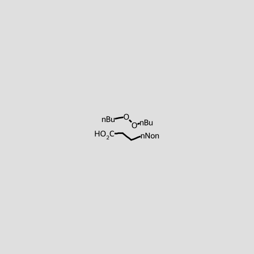 CCCCCCCCCCCC(=O)O.CCCCOOCCCC